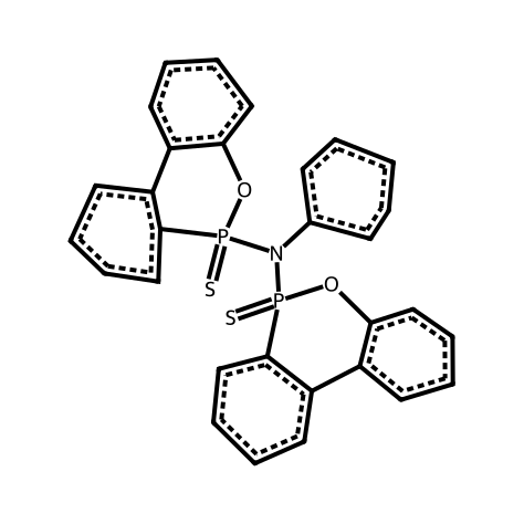 S=P1(N(c2ccccc2)P2(=S)Oc3ccccc3-c3ccccc32)Oc2ccccc2-c2ccccc21